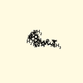 CN(CC=CC(=O)N1CCC(n2nc(-c3ccc(C(N)=O)c(-c4ncco4)c3)c3c(N)ncnc32)C1)C1CC1